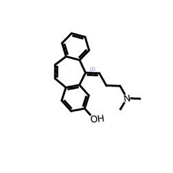 CN(C)CC/C=C1/c2ccccc2C=Cc2ccc(O)cc21